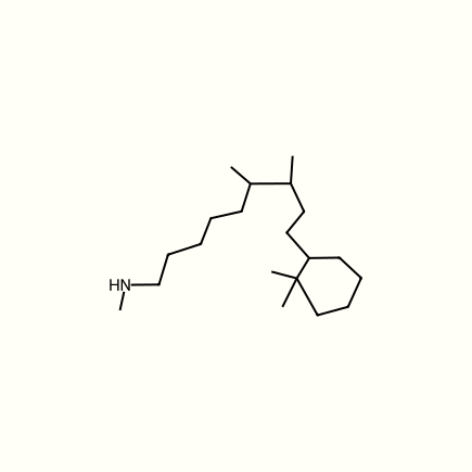 CNCCCCCC(C)C(C)CCC1CCCCC1(C)C